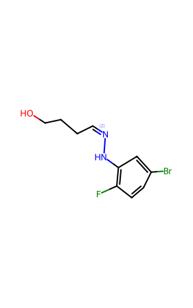 OCCC/C=N\Nc1cc(Br)ccc1F